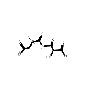 NC(C(=O)O)C(=O)OC(=O)[C@@H](N)CC(=O)O